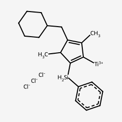 CC1=C(CC2CCCCC2)C(C)C([SiH2]c2ccccc2)=[C]1[Ti+3].[Cl-].[Cl-].[Cl-]